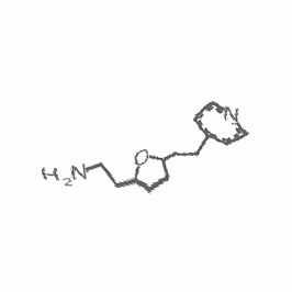 NCCC1CCC(CCc2ccncc2)O1